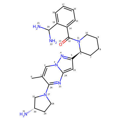 Cc1cn2nc([C@@H]3CCCCN3C(=O)c3ccccc3C(N)N)cc2nc1N1CC[C@H](N)C1